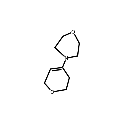 C1=C(N2CCOCC2)CCOC1